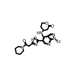 CCn1ncc2c(NC3CCOC(=O)C3)c(-c3nc(CC(=O)N4CCCCC4)no3)cnc21